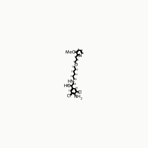 COc1cccnc1CCCOCCCCCCNCC(O)c1cc(Cl)c(N)c(Cl)c1